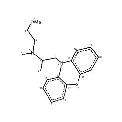 COCCN(C)C(C)CN1c2ccccc2Sc2ccccc21